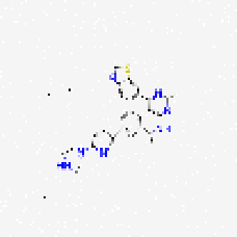 Cc1nc(NC(C)c2cccc(-c3ccc(N4CCNCC4)nc3)c2)cc(-c2ccc3ncsc3c2)n1